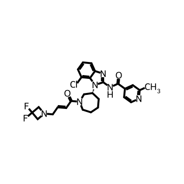 Cc1cc(C(=O)Nc2nc3cccc(Cl)c3n2[C@@H]2CCCCN(C(=O)/C=C/CN3CC(F)(F)C3)C2)ccn1